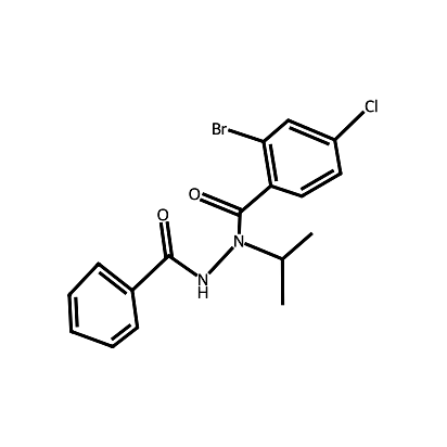 CC(C)N(NC(=O)c1ccccc1)C(=O)c1ccc(Cl)cc1Br